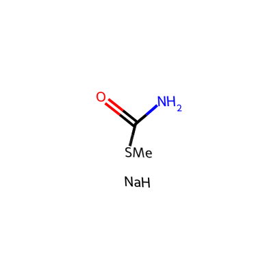 CSC(N)=O.[NaH]